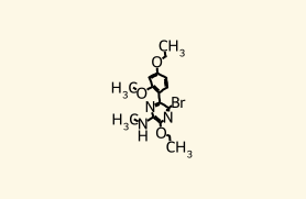 CCOc1ccc(-c2nc(NC)c(OCC)nc2Br)c(OC)c1